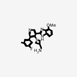 COc1cccc2[nH]c(-c3cncc(-c4cc(C)cc(F)c4)c3N3CC(CN)C3)nc12